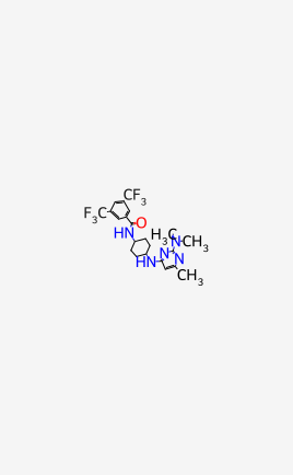 Cc1cc(NC2CCC(NC(=O)c3cc(C(F)(F)F)cc(C(F)(F)F)c3)CC2)nc(N(C)C)n1